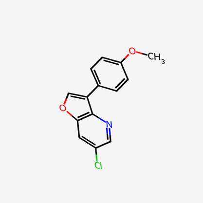 COc1ccc(-c2coc3cc(Cl)cnc23)cc1